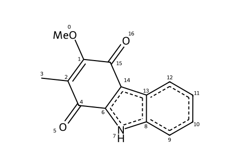 COC1=C(C)C(=O)c2[nH]c3ccccc3c2C1=O